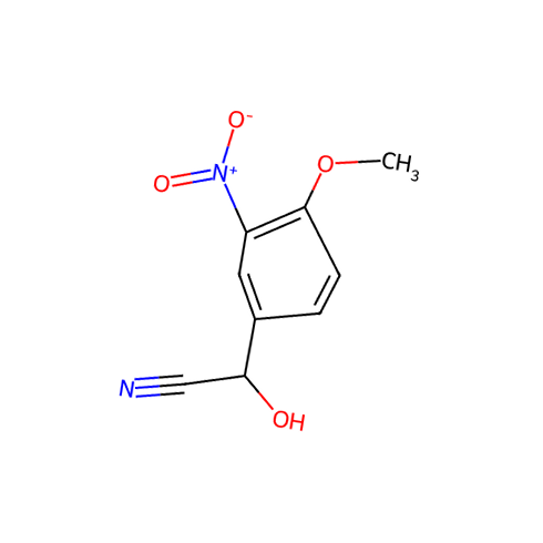 COc1ccc(C(O)C#N)cc1[N+](=O)[O-]